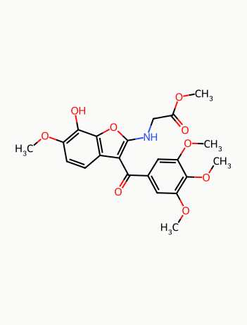 COC(=O)CNc1oc2c(O)c(OC)ccc2c1C(=O)c1cc(OC)c(OC)c(OC)c1